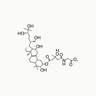 COC(=O)CNC(=O)CC(C)(O)CC(=O)O[C@@H]1C[C@]2(C)C3=C(CCC2C(C)(C)[C@H]1O)[C@]1(C)CC[C@H]([C@H](CO)CC[C@@H](O)C(C)(C)O)[C@@]1(C)[C@@H](O)C3